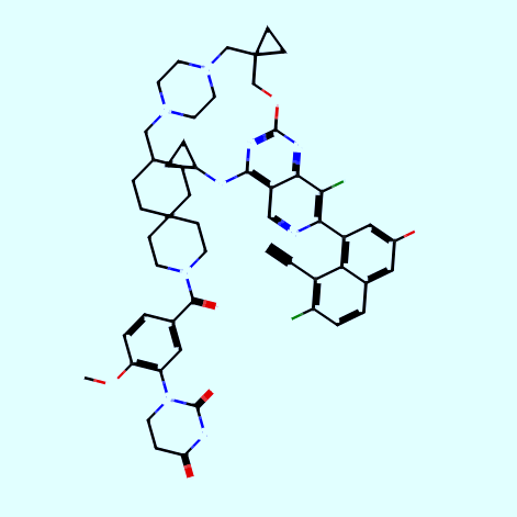 C#Cc1c(F)ccc2cc(O)cc(-c3ncc4c(NC5CC5)nc(OCC5(CN6CCN(CC7CCC8(CC7)CCN(C(=O)c7ccc(OC)c(N9CCC(=O)NC9=O)c7)CC8)CC6)CC5)nc4c3F)c12